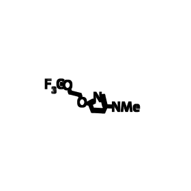 CNc1ccc(OCCOC(F)(F)F)nc1